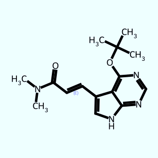 CN(C)C(=O)/C=C/c1c[nH]c2ncnc(OC(C)(C)C)c12